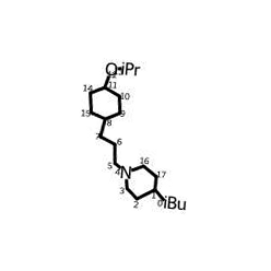 CCC(C)C1CCN(CCCC2CCC(OC(C)C)CC2)CC1